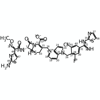 CO/N=C(\C(=O)N[C@@H]1C(=O)N2C(C(=O)[O-])=C(C[n+]3cccc4c3ccn4Cc3c(F)cc(C(=N)Nc4nccs4)cc3Cl)CS[C@H]12)c1csc(N)n1